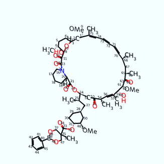 CO[C@H]1C[C@@H]2CC[C@@H](C)[C@@](O)(O2)C(=O)C(=O)N2CCCC[C@H]2C(=O)O[C@H]([C@H](C)C[C@@H]2CC[C@@H](OC(=O)C3(C)COB(c4ccccc4)OC3)[C@H](OC)C2)CC(=O)[C@H](C)/C=C(\C)[C@@H](O)[C@@H](OC)C(=O)[C@H](C)C[C@H](C)/C=C/C=C/C=C/1C